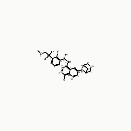 COCC(F)(F)c1cccc([C@@H](C)Nc2nnc(C)c3ncc(N4C5COCC4C5)cc23)c1F